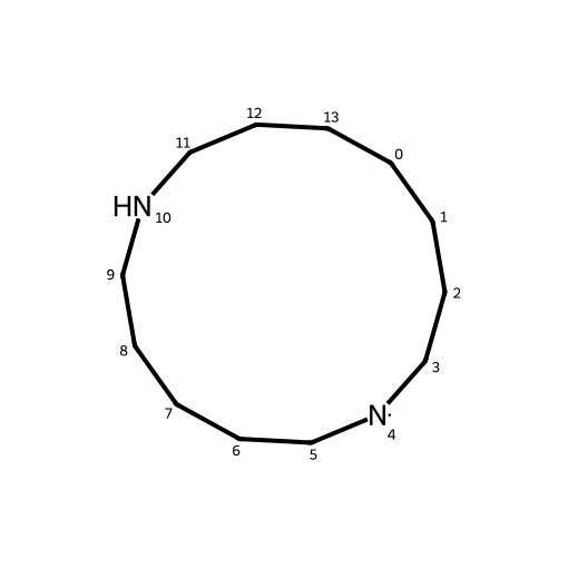 C1CCC[N]CCCCCNCCC1